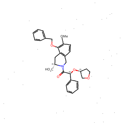 COc1ccc2c(c1OCc1ccccc1)C[C@@H](C(=O)O)N(C(=O)[C@@H](O[C@H]1CCOC1)c1ccccc1)C2